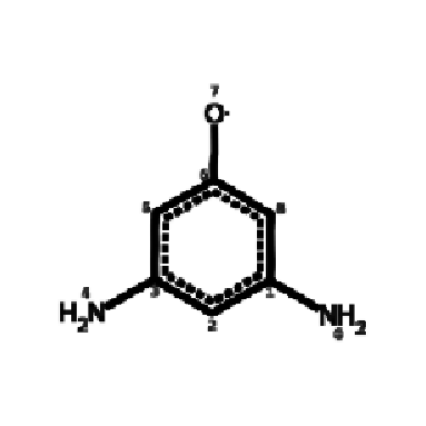 Nc1cc(N)cc([O])c1